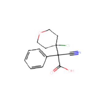 N#CC(C(=O)O)(c1ccccc1)C1(Cl)CCOCC1